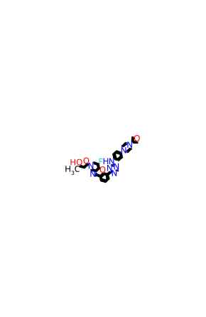 C[C@@H](O)CC(=O)N1CC[C@H](Oc2c(C#N)cccc2-c2ncnc(Nc3ccc(N4CCN(C5COC5)CC4)cc3)n2)[C@H](F)C1